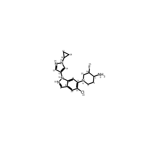 NC1CCN(c2cc3c(cnn3-c3cnn(C4CC4)c3)cc2Cl)CC1F